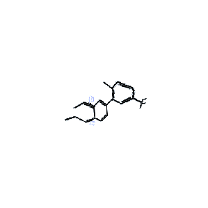 C/C=c1/cc(-c2cc(F)ccc2C)cc/c1=C/CC